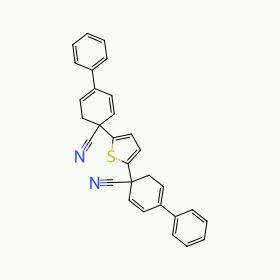 N#CC1(c2ccc(C3(C#N)C=CC(c4ccccc4)=CC3)s2)C=CC(c2ccccc2)=CC1